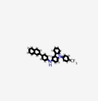 FC(F)(F)c1ccc(-n2c3ccccc3c3cc(Nc4ccc(-c5ccc6ccccc6c5)cc4)ccc32)cc1